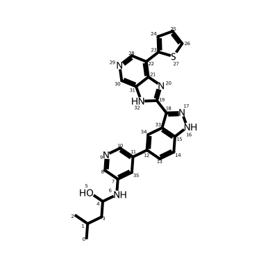 CC(C)CC(O)Nc1cncc(-c2ccc3[nH]nc(-c4nc5c(-c6cccs6)cncc5[nH]4)c3c2)c1